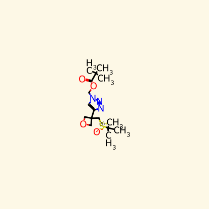 CC(C)(C)C(=O)OCn1cc(C2(C[S@@+]([O-])C(C)(C)C)COC2)nn1